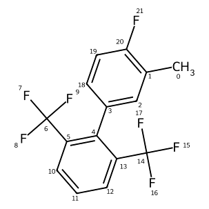 Cc1cc(-c2c(C(F)(F)F)cccc2C(F)(F)F)ccc1F